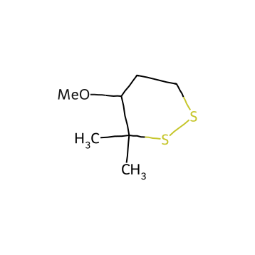 COC1CCSSC1(C)C